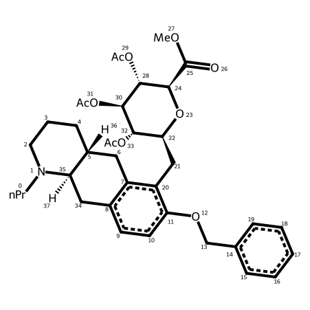 CCCN1CCC[C@@H]2Cc3c(ccc(OCc4ccccc4)c3C[C@@H]3O[C@H](C(=O)OC)[C@@H](OC(C)=O)[C@H](OC(C)=O)[C@H]3OC(C)=O)C[C@H]21